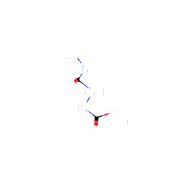 CCNC(=O)NNC(=O)OCC